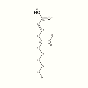 CCCCCCC(CC=CC(=O)O)OC